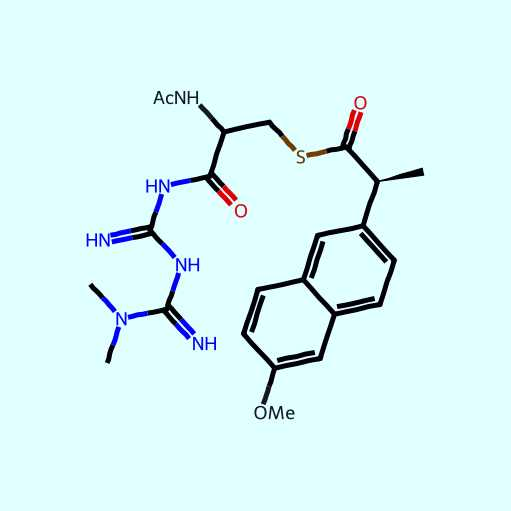 COc1ccc2cc([C@H](C)C(=O)SCC(NC(C)=O)C(=O)NC(=N)NC(=N)N(C)C)ccc2c1